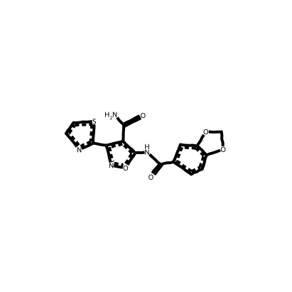 NC(=O)c1c(-c2nccs2)noc1NC(=O)c1ccc2c(c1)OCO2